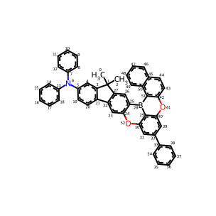 CC1(C)c2cc(N(c3ccccc3)c3ccccc3)ccc2-c2cc3c(cc21)B1c2c(cc(-c4ccccc4)cc2Oc2ccc4ccccc4c21)O3